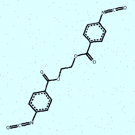 O=C=Nc1ccc(C(=O)OCCOC(=O)c2ccc(N=C=O)cc2)cc1